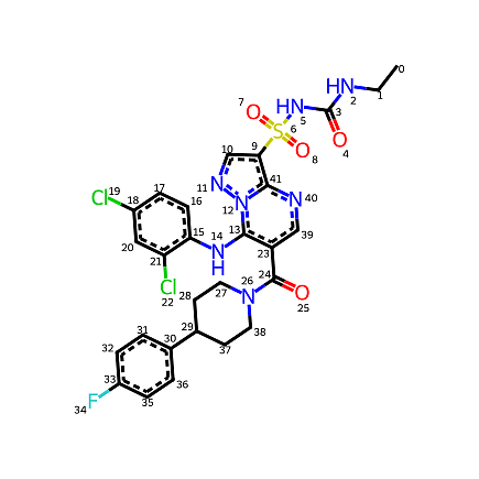 CCNC(=O)NS(=O)(=O)c1cnn2c(Nc3ccc(Cl)cc3Cl)c(C(=O)N3CCC(c4ccc(F)cc4)CC3)cnc12